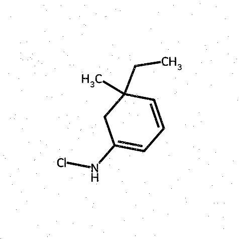 CCC1(C)C=CC=C(NCl)C1